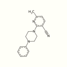 Cc1ccc(C#N)c(N2CCN(c3ccccc3)CC2)n1